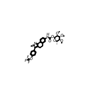 CO[C@@H]1[C@@H](OC)[C@H](C)O[C@@H](OC(=O)Nc2ccc3c(c2)CCc2c-3nn(C)c2-c2ccc(OC(F)(F)F)cc2)[C@@H]1OC